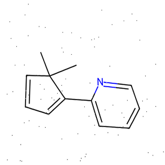 CC1(C)C=CC=C1c1ccccn1